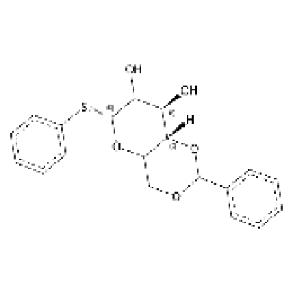 OC1[C@@H](Sc2ccccc2)OC2COC(c3ccccc3)O[C@H]2[C@@H]1O